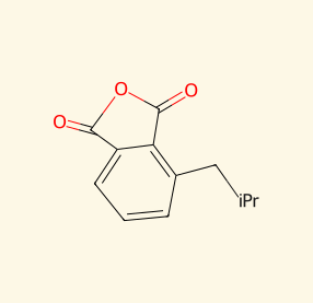 CC(C)Cc1cccc2c1C(=O)OC2=O